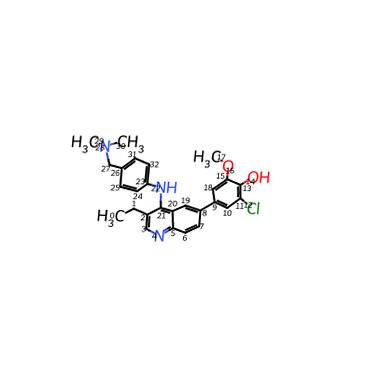 CCc1cnc2ccc(-c3cc(Cl)c(O)c(OC)c3)cc2c1Nc1ccc(CN(C)C)cc1